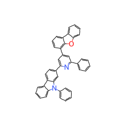 c1ccc(-c2cc(-c3cccc4c3oc3ccccc34)cc(-c3ccc4c5ccccc5n(-c5ccccc5)c4c3)n2)cc1